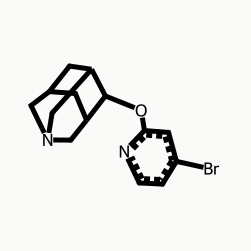 Brc1ccnc(OC2C3CC4CC2CN(C4)C3)c1